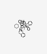 O=C(O)[C@H]1CCCC[C@H]1C(=O)N1CCc2ccccc2[C@H]1CCN1C(=O)c2ccccc2C1=O